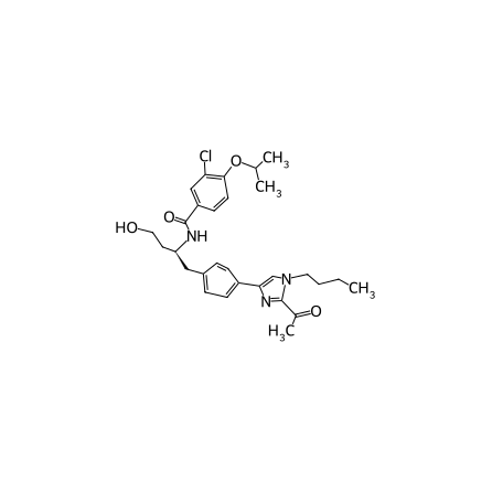 CCCCn1cc(-c2ccc(C[C@@H](CCO)NC(=O)c3ccc(OC(C)C)c(Cl)c3)cc2)nc1C(C)=O